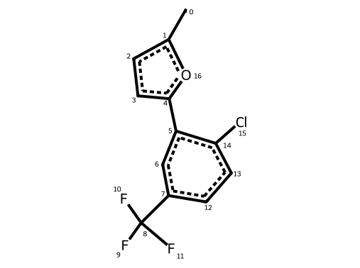 [CH2]c1ccc(-c2cc(C(F)(F)F)ccc2Cl)o1